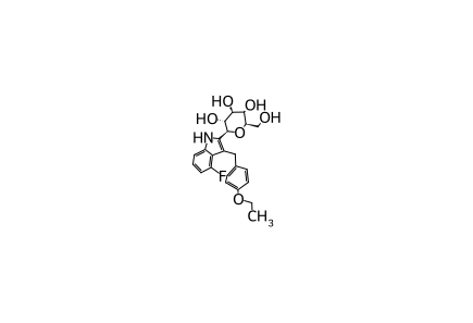 CCOc1ccc(Cc2c([C@@H]3O[C@H](CO)[C@@H](O)[C@H](O)[C@H]3O)[nH]c3cccc(F)c23)cc1